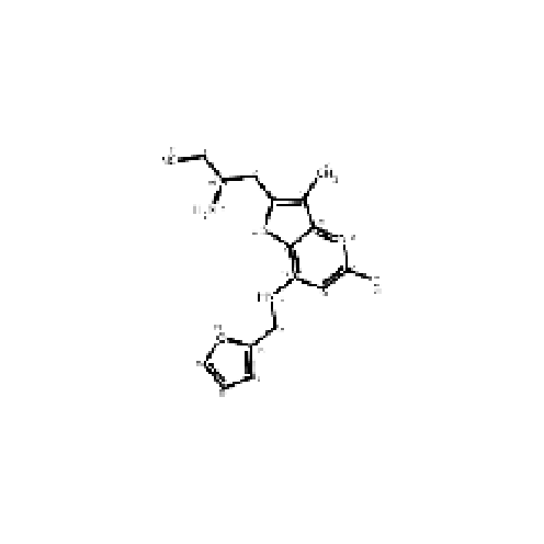 Cc1c(C[C@@H](N)CC#N)sc2c(NCc3ccco3)cc(Cl)nc12